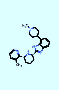 Cc1cccnc1[C@@H]1CCC[C@H](c2nc3cccc(C4CCN(C)CC4)c3[nH]2)N1